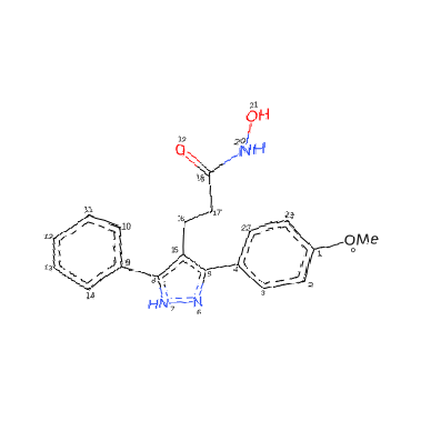 COc1ccc(-c2n[nH]c(-c3ccccc3)c2CCC(=O)NO)cc1